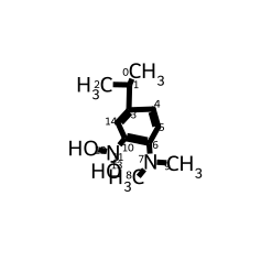 CC(C)c1ccc(N(C)C)c(N(O)O)c1